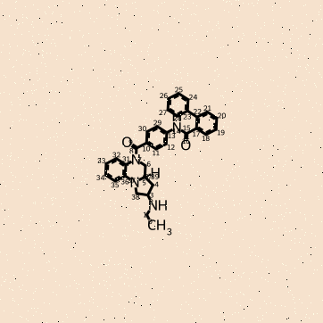 CCNC1C[C@H]2CN(C(=O)c3ccc(NC(=O)c4ccccc4-c4ccccc4)cc3)c3ccccc3N2C1